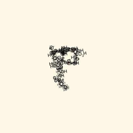 COC(=O)C(CNC(C)(C)C(O)C(C)OC(C)OC1C(Oc2c3cc4cc2Oc2ccc(cc2Cl)[C@@H](O)CC(=O)NC(C(=O)O)c2cc(O)cc(O)c2-c2cc(ccc2O)[C@H](C(N)=O)NC(=O)C4NC(=O)C(CC(N)=O)NC(=O)[C@@H](NC(=O)CCC(C)C)C(O)c2ccc(c(Cl)c2)O3)OC(CO)C(O)C1O)OCc1ccc(-c2ccccc2)cc1